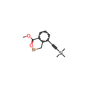 COC(=O)c1cccc(C#C[Si](C)(C)C)c1CBr